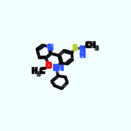 CNSc1ccc(NC2CCCCC2)c(-c2ncccc2OC)c1